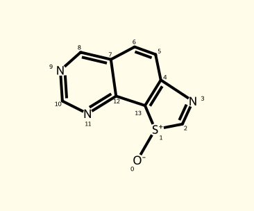 [O-][s+]1cnc2ccc3cncnc3c21